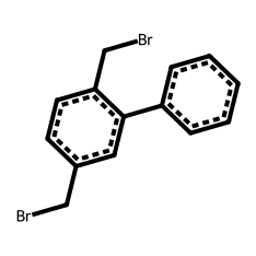 BrCc1ccc(CBr)c(-c2ccccc2)c1